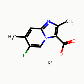 Cc1cc2nc(C)c(C(=O)[O-])n2cc1F.[K+]